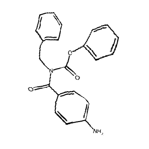 Nc1ccc(C(=O)N(Cc2ccccc2)C(=O)Oc2ccccc2)cc1